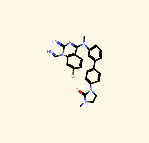 CN1CCN(c2ccc(-c3cccc(N(C)c4nc(=N)n(C=N)c5cc(Cl)ccc45)c3)cc2)C1=O